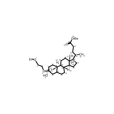 CCOCCO[C@@]1(O)CC[C@@]2(C)C(CC[C@H]3[C@@H]4CC[C@H]([C@H](C)CCC(=O)OC)[C@@]4(C)CC[C@@H]32)C1